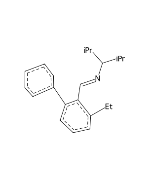 CCc1cccc(-c2ccccc2)c1C=NC(C(C)C)C(C)C